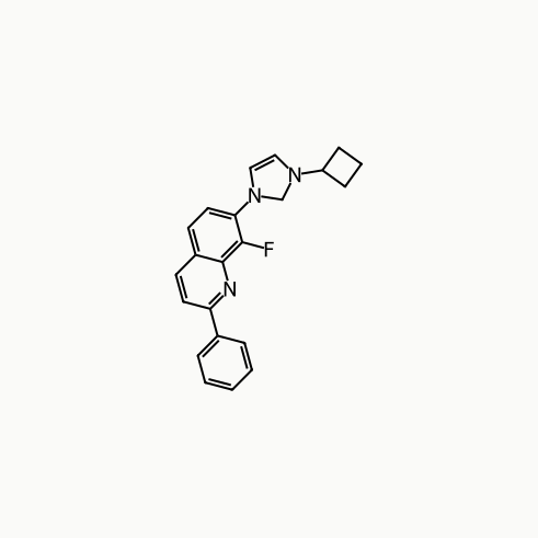 Fc1c(N2C=CN(C3CCC3)C2)ccc2ccc(-c3ccccc3)nc12